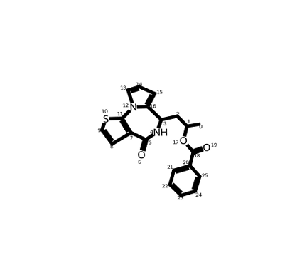 CC(CC1NC(=O)c2ccsc2-n2cccc21)OC(=O)c1ccccc1